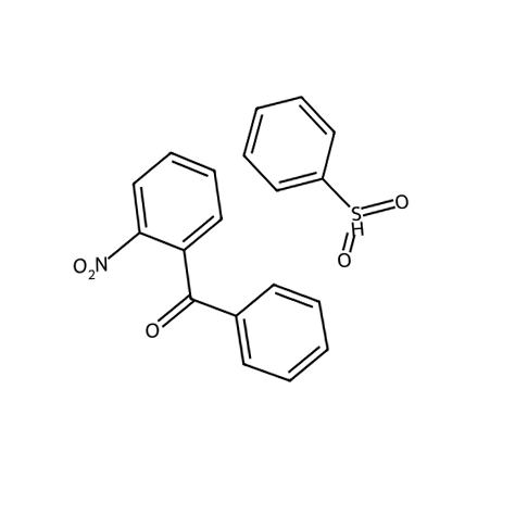 O=C(c1ccccc1)c1ccccc1[N+](=O)[O-].O=[SH](=O)c1ccccc1